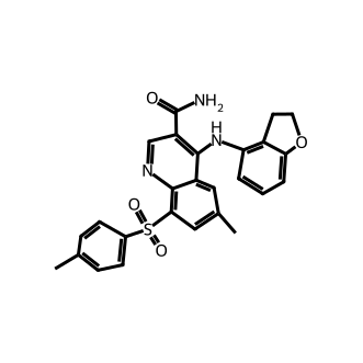 Cc1ccc(S(=O)(=O)c2cc(C)cc3c(Nc4cccc5c4CCO5)c(C(N)=O)cnc23)cc1